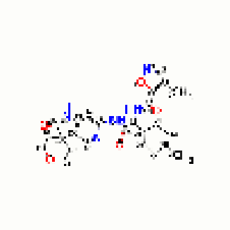 Cc1cnoc1C(=O)NC(C(=O)Nc1cc2c(cn1)C1(CCOCC1)C(=O)N2)C1CCC(C)CC1